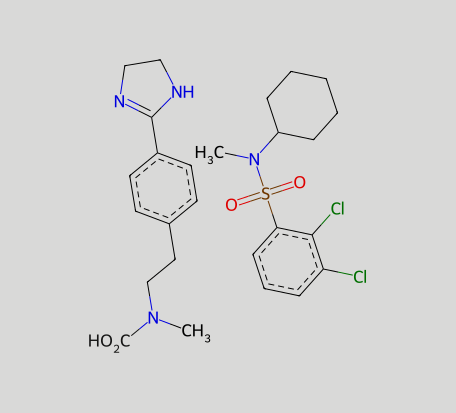 CN(C1CCCCC1)S(=O)(=O)c1cccc(Cl)c1Cl.CN(CCc1ccc(C2=NCCN2)cc1)C(=O)O